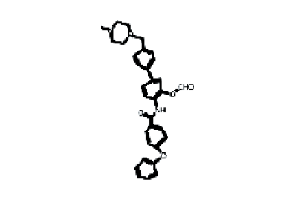 CN1CCN(Cc2ccc(-c3ccc(NC(=O)c4ccc(Oc5ccccc5)cc4)c(OC=O)c3)cc2)CC1